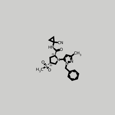 Cc1cc(N2C[C@H](S(C)(=O)=O)C[C@H]2C(=O)NC2(C#N)CC2)n(Cc2ccccc2)n1